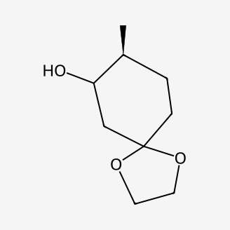 C[C@H]1CCC2(CC1O)OCCO2